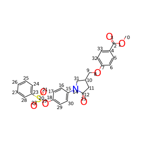 COC(=O)c1ccc(OCC2CC(=O)N(c3ccc(OS(=O)(=O)c4ccccc4)cc3)C2)cc1